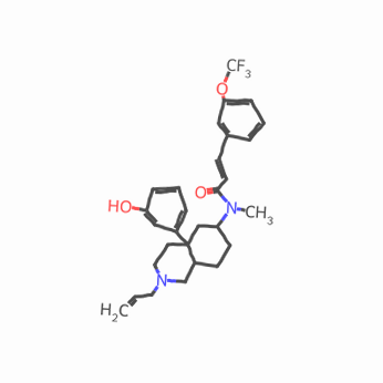 C=CCN1CCC2(c3cccc(O)c3)CC(N(C)C(=O)/C=C/c3cccc(OC(F)(F)F)c3)CCC2C1